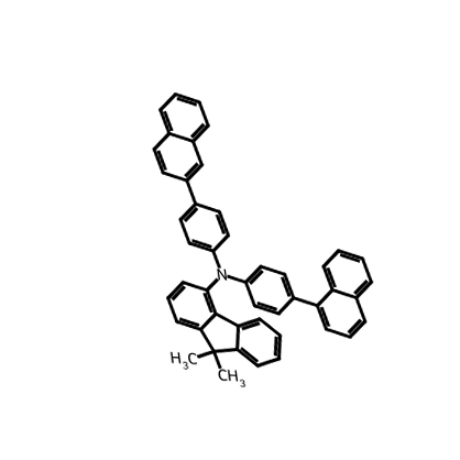 CC1(C)c2ccccc2-c2c(N(c3ccc(-c4ccc5ccccc5c4)cc3)c3ccc(-c4cccc5ccccc45)cc3)cccc21